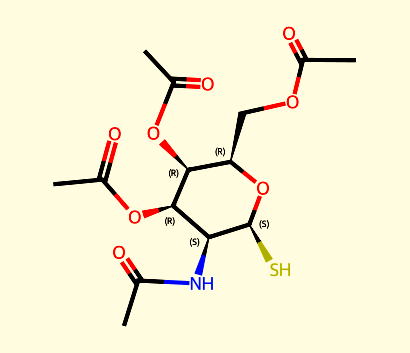 CC(=O)N[C@H]1[C@@H](OC(C)=O)[C@@H](OC(C)=O)[C@@H](COC(C)=O)O[C@H]1S